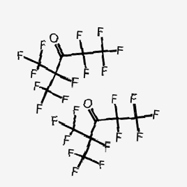 O=C(C(F)(F)C(F)(F)F)C(F)(C(F)(F)F)C(F)(F)F.O=C(C(F)(F)C(F)(F)F)C(F)(C(F)(F)F)C(F)(F)F